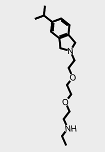 CCNCCOCCOCCN1Cc2ccc(C(C)C)cc2C1